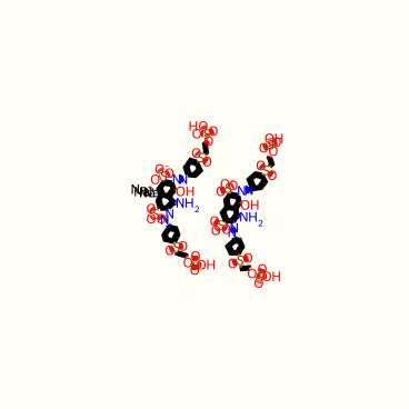 Nc1c(N=Nc2ccc(S(=O)(=O)CCOS(=O)(=O)O)cc2)c(S(=O)(=O)[O-])cc2cc(S(=O)(=O)[O-])c(N=Nc3ccc(S(=O)(=O)CCOS(=O)(=O)O)cc3)c(O)c12.Nc1c(N=Nc2ccc(S(=O)(=O)CCOS(=O)(=O)O)cc2)c(S(=O)(=O)[O-])cc2cc(S(=O)(=O)[O-])c(N=Nc3ccc(S(=O)(=O)CCOS(=O)(=O)O)cc3)c(O)c12.[Na+].[Na+].[Na+].[Na+]